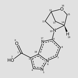 O=C(O)c1cnn2ccc(N3CC4C[C@@H]3CO4)nc12